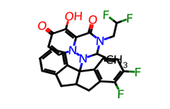 CC1N(CC(F)F)C(=O)c2c(O)c(=O)ccn2N1C12c3ccccc3CC1Cc1c2ccc(F)c1F